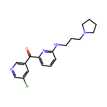 O=C(c1cncc(Br)c1)c1cccc(NCCCN2CCCC2)n1